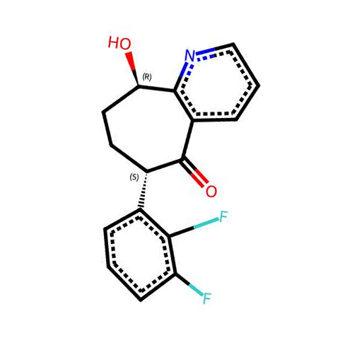 O=C1c2cccnc2[C@H](O)CC[C@H]1c1cccc(F)c1F